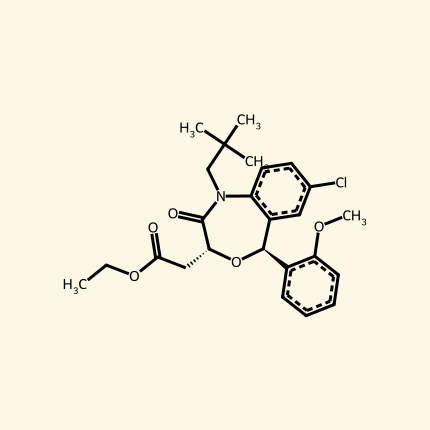 CCOC(=O)C[C@H]1O[C@H](c2ccccc2OC)c2cc(Cl)ccc2N(CC(C)(C)C)C1=O